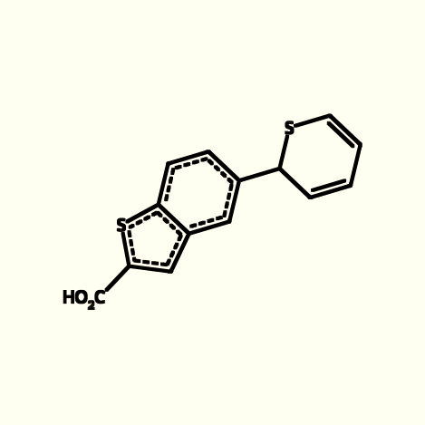 O=C(O)c1cc2cc(C3C=CC=CS3)ccc2s1